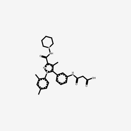 Cc1ccc(-n2nc(C(=O)NN3CCCCC3)c(C)c2-c2cccc(NC(=O)CC(=O)O)c2)c(C)c1